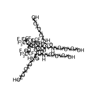 O=C(CN(CC(=O)NCCOCCOCCOCCO)C(=O)CN(CC(=O)N(CC(=O)NCCOCCOCCOCCO)CC(=O)NCCOCCOCCOCCO)C(=O)COCC(COC(C(F)(F)F)(C(F)(F)F)C(F)(F)F)(COC(C(F)(F)F)(C(F)(F)F)C(F)(F)F)COC(C(F)(F)F)(C(F)(F)F)C(F)(F)F)NCCOCCOCCOCCO